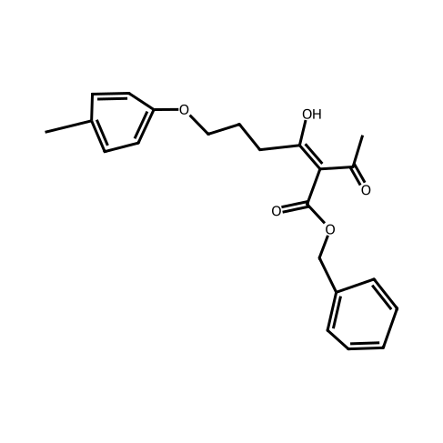 CC(=O)/C(C(=O)OCc1ccccc1)=C(\O)CCCOc1ccc(C)cc1